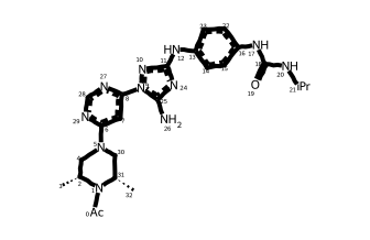 CC(=O)N1[C@H](C)CN(c2cc(-n3nc(Nc4ccc(NC(=O)NC(C)C)cc4)nc3N)ncn2)C[C@@H]1C